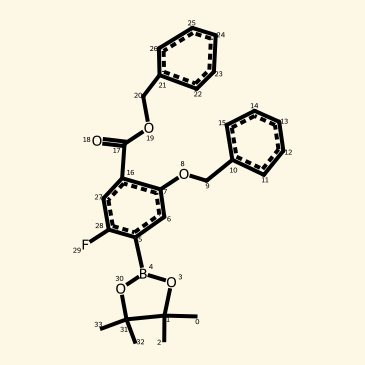 CC1(C)OB(c2cc(OCc3ccccc3)c(C(=O)OCc3ccccc3)cc2F)OC1(C)C